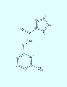 O=C(NCc1cccc(C(F)(F)F)n1)c1cncs1